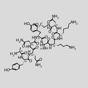 CC[C@H](C)[C@H](NC(=O)[C@H](Cc1ccc(O)cc1)NC(=O)[C@H](CC(N)=O)NC(=O)[C@H](CCC(N)=O)NC(=O)[C@H](Cc1ccc(O)cc1)NC(=O)[C@H](C)N)C(=O)N[C@@H](CCCCN)C(=O)N[C@@H](CCCCN)C(=O)N[C@@H](CC(N)=O)C(=O)NCC(=O)O